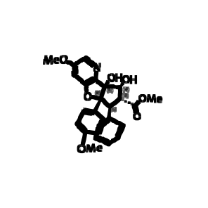 COC(=O)[C@H]1[C@@H](O)[C@@]2(O)c3ncc(OC)cc3O[C@@]2(c2ccc(OC)cc2)[C@@H]1c1ccccc1